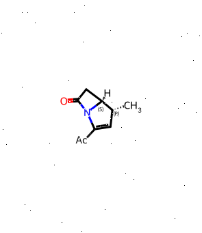 CC(=O)C1=C[C@@H](C)[C@@H]2CC(=O)N12